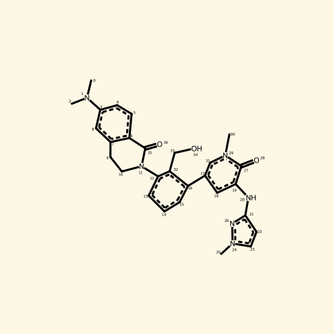 CN(C)c1ccc2c(c1)CCN(c1cccc(-c3cc(Nc4ccn(C)n4)c(=O)n(C)c3)c1CO)C2=O